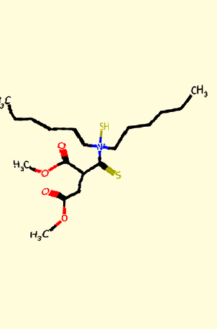 CCCCCC[N+](S)(CCCCCC)C(=S)C(CC(=O)OC)C(=O)OC